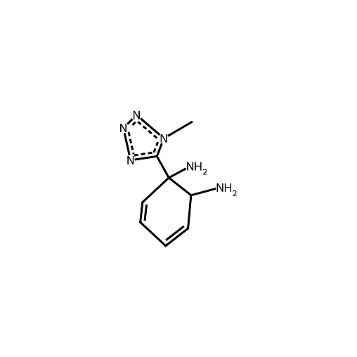 Cn1nnnc1C1(N)C=CC=CC1N